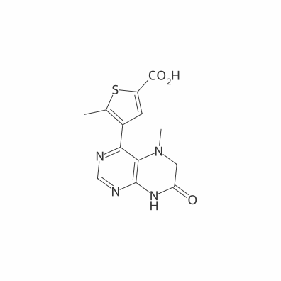 Cc1sc(C(=O)O)cc1-c1ncnc2c1N(C)CC(=O)N2